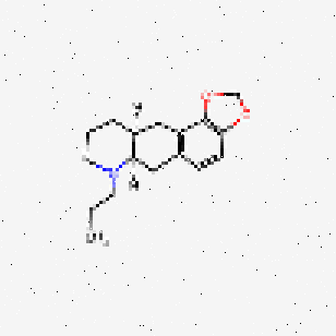 CCCN1CCC[C@H]2Cc3c(ccc4c3OCO4)C[C@H]21